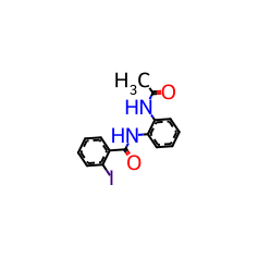 CC(=O)Nc1ccccc1NC(=O)c1ccccc1I